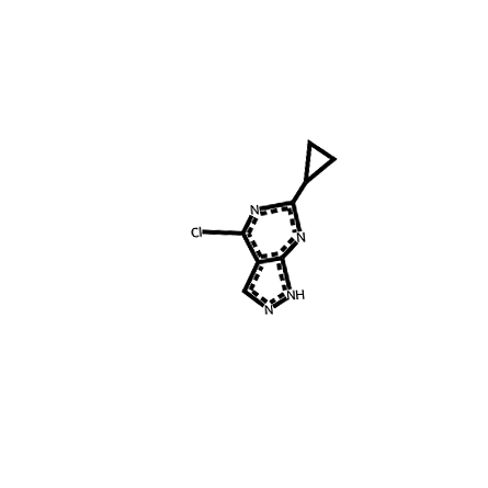 Clc1nc(C2CC2)nc2[nH]ncc12